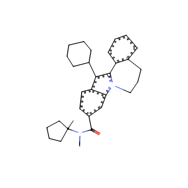 CN(C(=O)c1ccc2c(C3CCCCC3)c3n(c2c1)CCCc1ccccc1-3)C1(C(=O)O)CCCC1